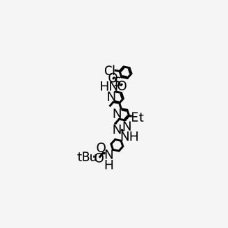 CCc1cc(-c2ccc(NS(=O)(=O)c3ccccc3Cl)nc2C)nc2cnc(N[C@H]3CC[C@H](NC(=O)OC(C)(C)C)CC3)nc12